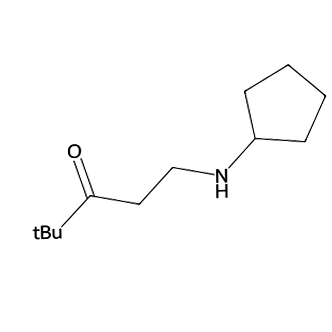 CC(C)(C)C(=O)CCNC1CCCC1